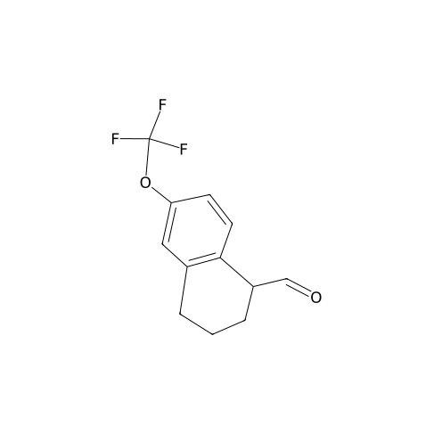 O=CC1CCCc2cc(OC(F)(F)F)ccc21